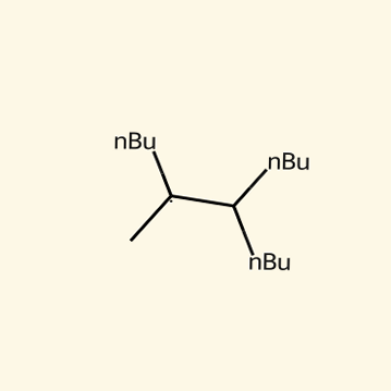 CCCC[C](C)C(CCCC)CCCC